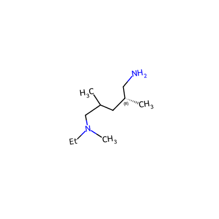 CCN(C)CC(C)C[C@@H](C)CN